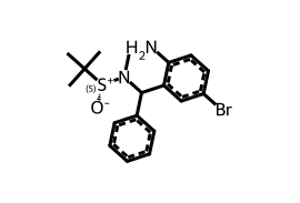 CN(C(c1ccccc1)c1cc(Br)ccc1N)[S@+]([O-])C(C)(C)C